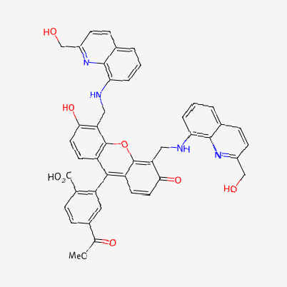 COC(=O)c1ccc(C(=O)O)c(-c2c3ccc(=O)c(CNc4cccc5ccc(CO)nc45)c-3oc3c(CNc4cccc5ccc(CO)nc45)c(O)ccc23)c1